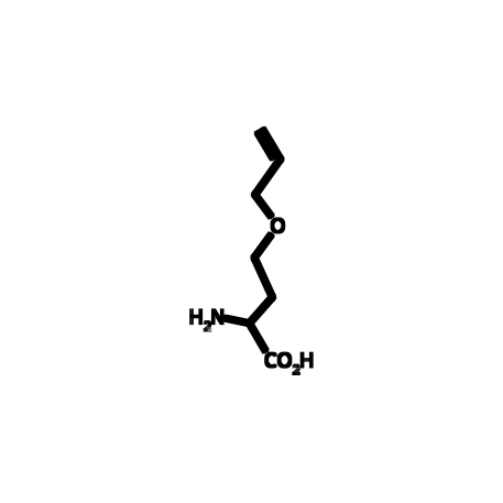 C=CCOCCC(N)C(=O)O